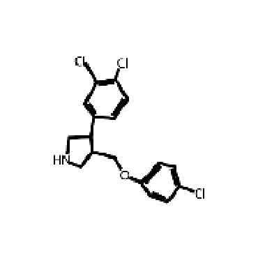 Clc1ccc(OCC2CNCC2c2ccc(Cl)c(Cl)c2)cc1